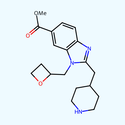 COC(=O)c1ccc2nc(CC3CCNCC3)n(CC3CCO3)c2c1